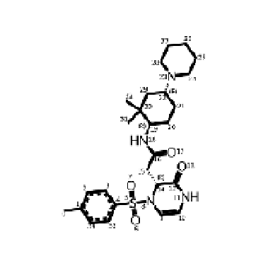 Cc1ccc(S(=O)(=O)N2C=CNC(=O)[C@H]2CC(=O)N[C@@H]2CC[C@@H](N3CCCCC3)CC2(C)C)cc1